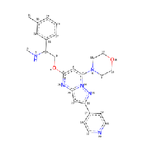 CNC(COc1cc(N2CCOCC2)n2nc(-c3ccncc3)cc2n1)c1cccc(C)c1